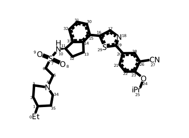 CCC1CCN(CCS(=O)(=O)N[C@@H]2CCc3c(-c4cnc(-c5ccc(OC(C)C)c(C#N)c5)s4)cccc32)CC1